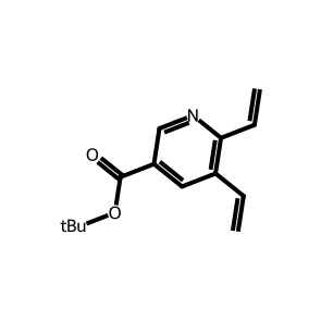 C=Cc1cc(C(=O)OC(C)(C)C)cnc1C=C